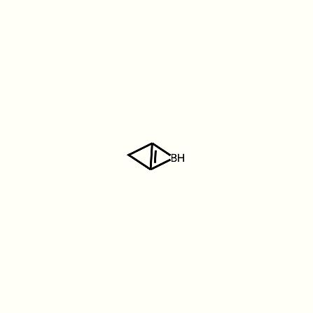 B1C2=C1C2